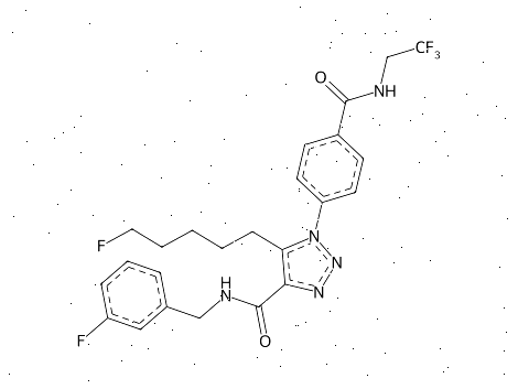 O=C(NCC(F)(F)F)c1ccc(-n2nnc(C(=O)NCc3cccc(F)c3)c2CCCCCF)cc1